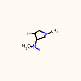 CN1CC(F)C(N(C)I)C1